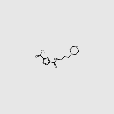 O=C(NCCCN1CCOCC1)c1ccc(C(=O)C(F)(F)F)s1